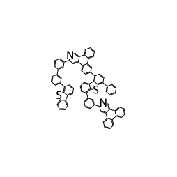 c1ccc(-c2ccc(-c3ccc4c(c3)c3ccccc3c3cnc(-c5cccc(-c6cccc(-c7cccc8c7sc7ccccc78)c6)c5)cc43)c3c2sc2c(-c4cccc(-c5cc6c7ccccc7c7ccccc7c6cn5)c4)cccc23)cc1